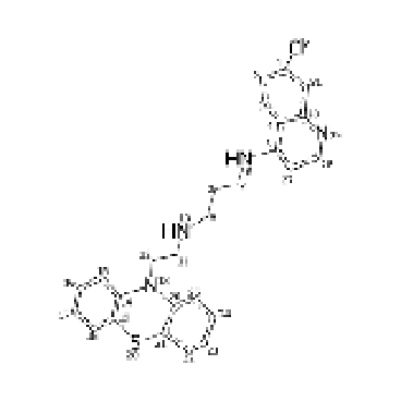 Clc1ccc2c(NCCCNCCN3c4ccccc4Sc4ccccc43)ccnc2c1